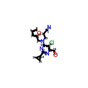 N#CCCN(Cc1ccco1)c1nc(C2CC2)nc(C=O)c1Cl